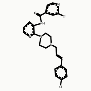 O=C(Nc1cccnc1N1CCN(CC=Cc2ccc(Cl)cc2)CC1)c1ccnc(Cl)c1